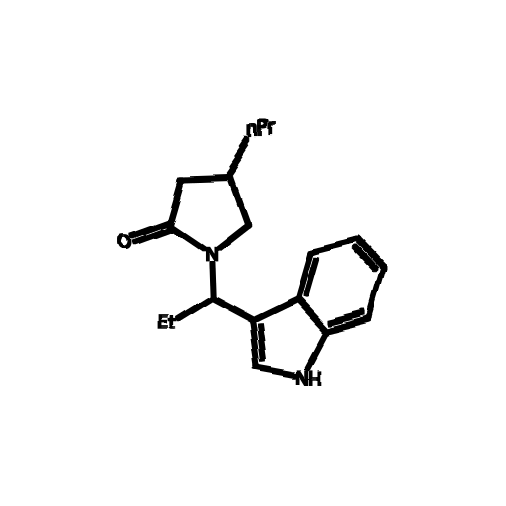 CCCC1CC(=O)N(C(CC)c2c[nH]c3ccccc23)C1